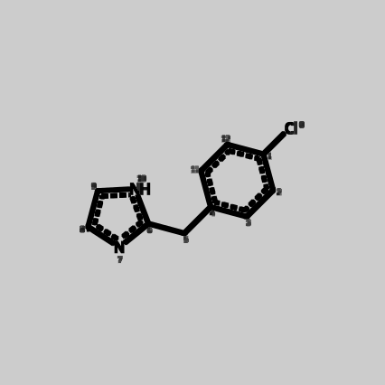 Clc1ccc(Cc2n[c]c[nH]2)cc1